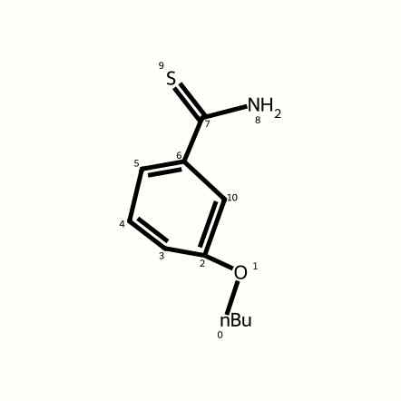 CCCCOc1cccc(C(N)=S)c1